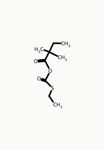 CCSC(=O)OC(=O)C(C)(C)CC